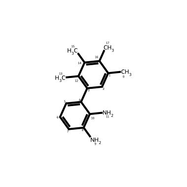 Cc1cc(-c2cccc(N)c2N)c(C)c(C)c1C